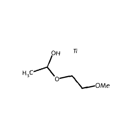 COCCOC(C)O.[Ti]